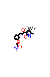 COc1cc(C)n(C)c(=O)c1C(=O)/C=C/c1cccc(OCC(=O)N(C)C)c1